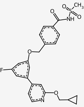 CS(=O)(=O)NC(=O)c1ccc(COc2cc(F)cc(-c3ccnc(OCC4CC4)c3)c2)cc1